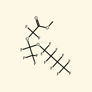 COC(=O)C(F)(F)OC(F)(OC(F)(F)C(F)(F)C(F)(F)C(F)(F)F)C(F)(F)F